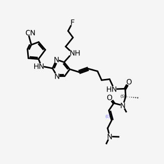 C[C@@H](C(=O)NCCCC#Cc1cnc(Nc2ccc(C#N)cc2)nc1NCCCF)N(C)C(=O)/C=C/CN(C)C